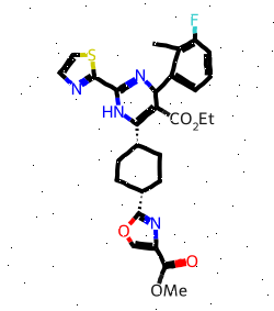 CCOC(=O)C1=C([C@H]2CC[C@@H](c3nc(C(=O)OC)co3)CC2)NC(c2nccs2)=NC1c1cccc(F)c1C